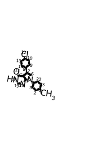 Cc1ccc(-n2cc(-c3ccc(Cl)cc3)c3c(=O)[nH]cnc32)cc1